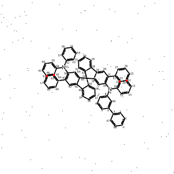 c1ccc(-c2cccc(N(c3ccccc3)c3cc4c(cc3-c3ccccc3)-c3ccccc3C43c4ccccc4-c4cc(-c5ccccc5)c(N(c5ccccc5)c5ccccc5)cc43)c2)cc1